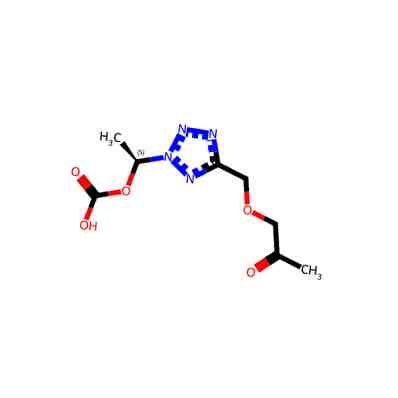 CC(=O)COCc1nnn([C@H](C)OC(=O)O)n1